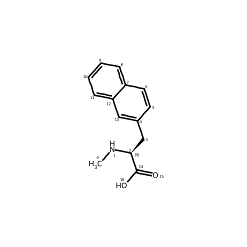 CN[C@@H](Cc1ccc2ccccc2c1)C(=O)O